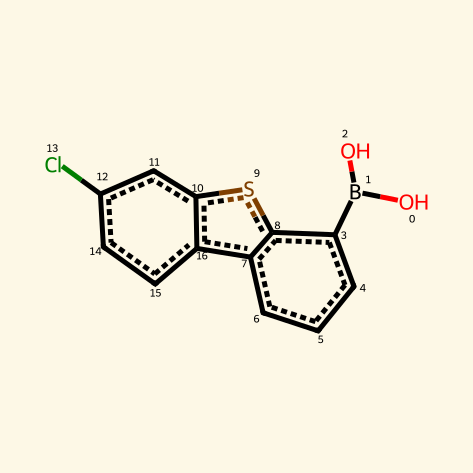 OB(O)c1cccc2c1sc1cc(Cl)ccc12